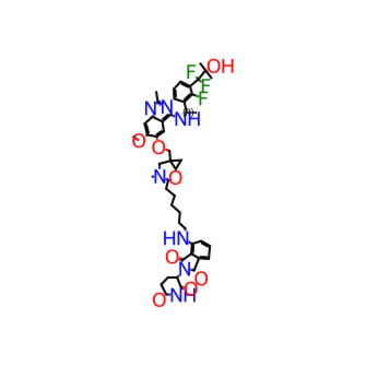 COc1cc2nc(C)nc(N[C@H](C)c3cccc(C(F)(F)C(C)(C)O)c3F)c2cc1OCC1(CN(C)C(=O)CCCCCCNc2cccc3c2C(=O)N(C2CCC(=O)NC2=O)C3=O)CC1